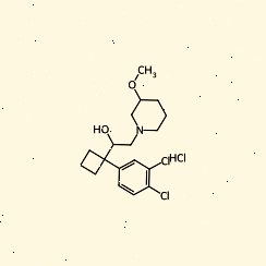 COC1CCCN(CC(O)C2(c3ccc(Cl)c(Cl)c3)CCC2)C1.Cl